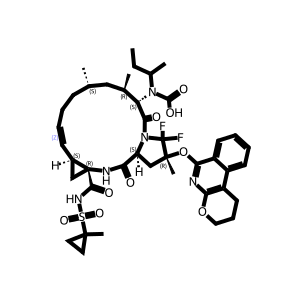 CCC(C)N(C(=O)O)[C@@H]1C(=O)N2[C@@H](C[C@@](C)(Oc3nc4c(c5ccccc35)CCCO4)C2(F)F)C(=O)N[C@]2(C(=O)NS(=O)(=O)C3(C)CC3)C[C@H]2/C=C\CC[C@H](C)C[C@H]1C